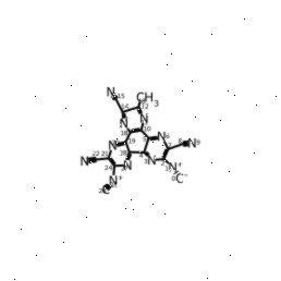 [C-]#[N+]c1nc2c(nc1C#N)c1nc(C)c(C#N)nc1c1nc(C#N)c([N+]#[C-])nc12